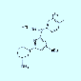 CCCCc1cc(N2CCC[C@@H](N)C2)nc(Nc2ccc(C)c(C(F)(F)F)c2)n1.Cl.Cl